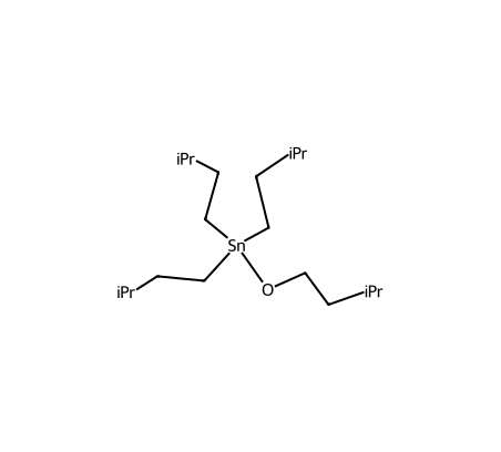 CC(C)CC[O][Sn]([CH2]CC(C)C)([CH2]CC(C)C)[CH2]CC(C)C